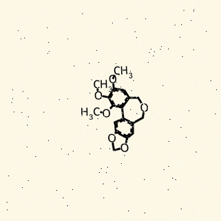 COc1cc2c(c(OC)c1OC)-c1cc3c(cc1COC2)OCO3